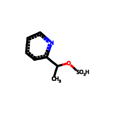 CC(OS(=O)(=O)O)c1ccccn1